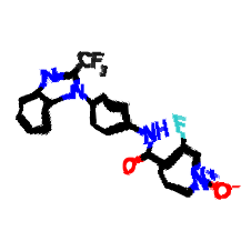 O=C(Nc1ccc(-n2c(C(F)(F)F)nc3ccccc32)cc1)c1cc[n+]([O-])cc1F